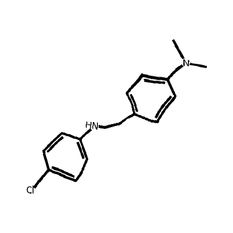 CN(C)c1ccc(CNc2ccc(Cl)cc2)cc1